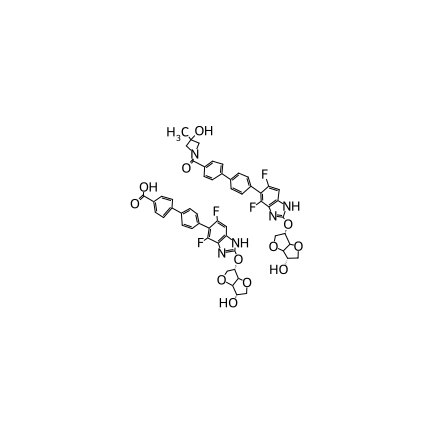 CC1(O)CN(C(=O)c2ccc(-c3ccc(-c4c(F)cc5[nH]c(O[C@H]6COC7C6OC[C@@H]7O)nc5c4F)cc3)cc2)C1.O=C(O)c1ccc(-c2ccc(-c3c(F)cc4[nH]c(O[C@H]5COC6C5OC[C@@H]6O)nc4c3F)cc2)cc1